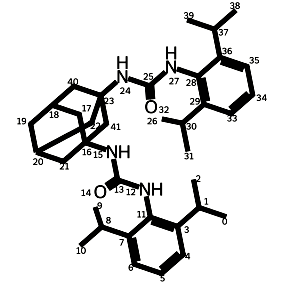 CC(C)c1cccc(C(C)C)c1NC(=O)NC12CC3CC(C1)CC(NC(=O)Nc1c(C(C)C)cccc1C(C)C)(C3)C2